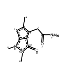 CNC(=O)Cc1c(C)sc2c1c(=O)n(C)n2C